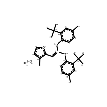 Cc1ccc([O][Ti](=[CH]c2occc2C)[O]c2ccc(C)cc2C(C)(C)C)c(C(C)(C)C)c1.Cl.Cl